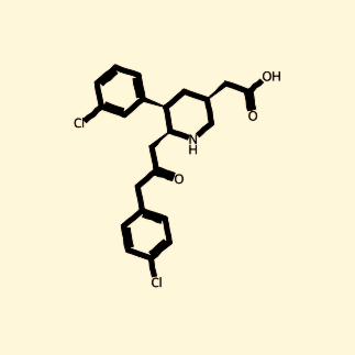 O=C(O)C[C@H]1CN[C@@H](CC(=O)Cc2ccc(Cl)cc2)[C@@H](c2cccc(Cl)c2)C1